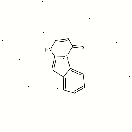 O=c1cc[nH]c2cc3ccccc3n12